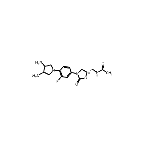 CC(=O)NC[C@H]1CN(c2ccc(N3CC(C)C(N)C3)c(F)c2)C(=O)O1